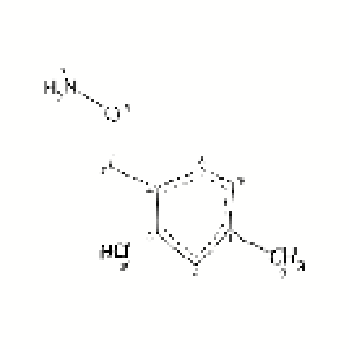 Cc1ccc(CON)cc1.Cl